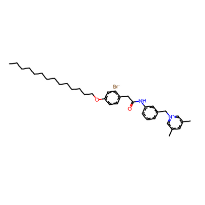 CCCCCCCCCCCCCCOc1ccc(CC(=O)Nc2cccc(C[n+]3cc(C)cc(C)c3)c2)cc1.[Br-]